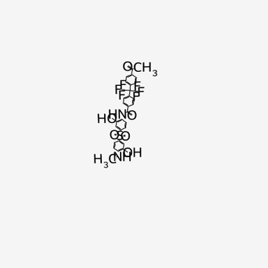 CNc1ccc(S(=O)(=O)c2ccc(NC(=O)c3ccc(C(c4ccc(C(C)=O)cc4)(C(F)(F)F)C(F)(F)F)cc3)c(O)c2)cc1O